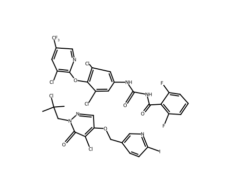 CC(C)(Cl)Cn1ncc(OCc2ccc(I)nc2)c(Cl)c1=O.O=C(NC(=O)c1c(F)cccc1F)Nc1cc(Cl)c(Oc2ncc(C(F)(F)F)cc2Cl)c(Cl)c1